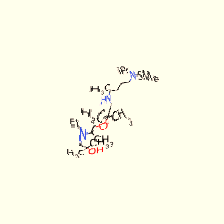 CCN(CC(C)(C)O)C(C)COC(C)(C)CNC(C)CCCN(SC)C(C)C